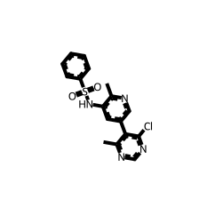 Cc1ncc(-c2c(C)ncnc2Cl)cc1NS(=O)(=O)c1ccccc1